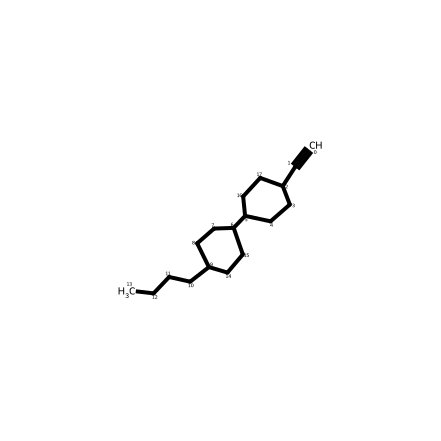 C#CC1CCC(C2CCC(CCCC)CC2)CC1